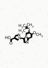 COc1cc2ncc(-n3cc(C(=O)O)cn3)n2cc1SC(C)(C)C